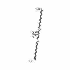 CCCCCCCCC=CCCCCCCCCOCCNCCOCCCCCCCCC=CCCCCCCCC.COS(=O)(=O)O